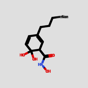 CCCCCCCCCCCCC1=CC(C(=O)NO)C(O)(O)C=C1